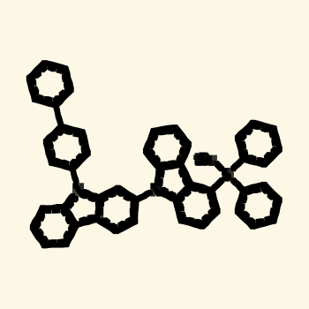 CC(C)(C)[Si](c1ccccc1)(c1ccccc1)c1cccc2c1c1ccccc1n2-c1ccc2c3ccccc3n(-c3ccc(-c4ccccc4)cc3)c2c1